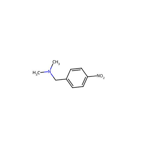 CN(C)Cc1ccc([N+](=O)[O-])cc1